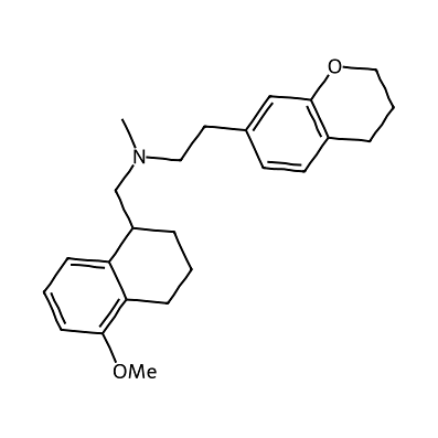 COc1cccc2c1CCCC2CN(C)CCc1ccc2c(c1)OCCC2